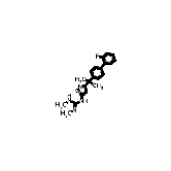 C/N=C(\NC)Nc1cc(C(C)(C)c2ccc(-c3ccccc3F)cc2)no1